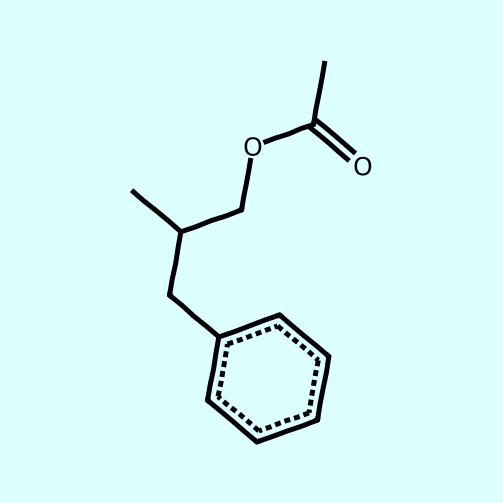 CC(=O)OCC(C)Cc1ccccc1